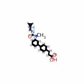 CN(C(=O)NCC1CC1)c1cccc(-c2ccc(CCC(=O)O)cc2)c1